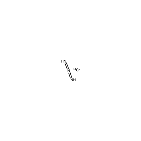 N=[N+]=N.[34Cr]